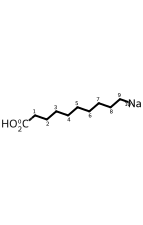 O=C(O)CCCCCCCC[CH2][Na]